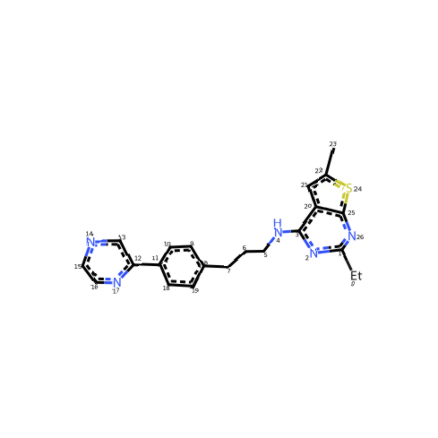 CCc1nc(NCCCc2ccc(-c3cnccn3)cc2)c2cc(C)sc2n1